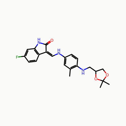 Cc1cc(NC=C2C(=O)Nc3cc(F)ccc32)ccc1NCC1COC(C)(C)O1